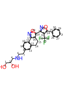 OC[C@@H](O)CNCCc1ccc2c(c1)CCc1c-2noc1-c1noc(-c2ccccc2)c1C(F)(F)F